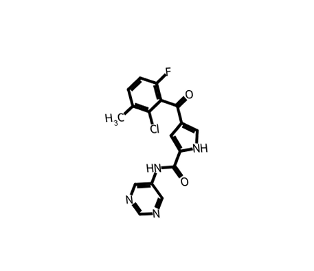 Cc1ccc(F)c(C(=O)c2c[nH]c(C(=O)Nc3cncnc3)c2)c1Cl